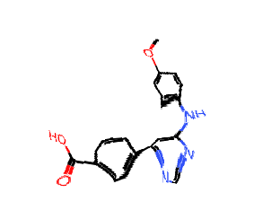 COc1ccc(Nc2cc(-c3ccc(C(=O)O)cc3)ncn2)cc1